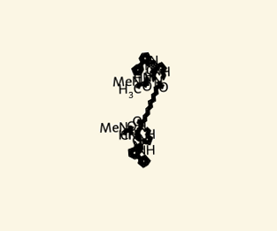 CN[C@@H](C)C(=O)N[C@H]1CN(C(=O)CCCCCCCCCCC(=O)N2CC[C@H]3CC[C@@H](c4nc5cccc(-c6ccccc6)c5[nH]4)N3C(=O)[C@@H](NC3OC3[C@H](C)NC)C2)CC[C@H]2CC[C@@H](c3nc4cccc(-c5ccccc5)c4[nH]3)N2C1=O